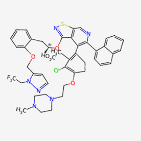 CC1=C(c2c(-c3cccc4ccccc34)ncc3snc(O[C@H](Cc4ccccc4OCc4ccnn4CC(F)(F)F)C(=O)O)c23)CCC(OCCN2CCN(C)CC2)=C1Cl